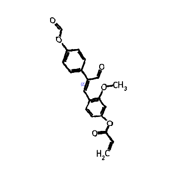 C=CC(=O)Oc1ccc(/C=C(\C=O)c2ccc(OC=O)cc2)c(OC)c1